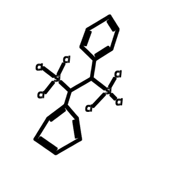 Cl[Si](Cl)(Cl)C(c1ccccc1)C(c1ccccc1)[Si](Cl)(Cl)Cl